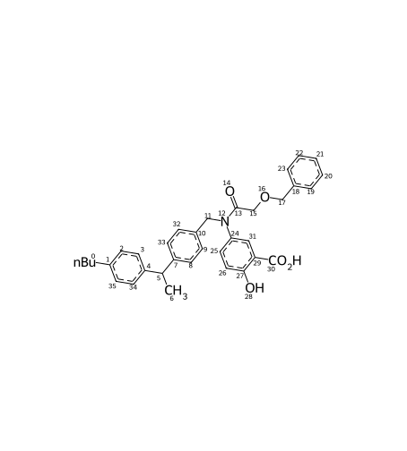 CCCCc1ccc(C(C)c2ccc(CN(C(=O)COCc3ccccc3)c3ccc(O)c(C(=O)O)c3)cc2)cc1